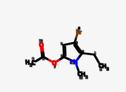 CCc1c(Br)cc(OC(C)=O)n1C